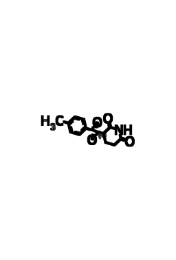 Cc1ccc(S(=O)(=O)[C@@H]2CCC(=O)NC2=O)cc1